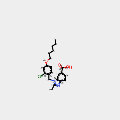 CCCCCCOc1ccc(Cn2c(C)nc3ccc(C(=O)O)cc32)c(Cl)c1